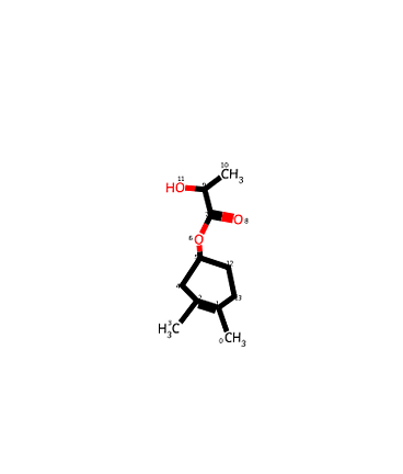 CC1=C(C)CC(OC(=O)C(C)O)CC1